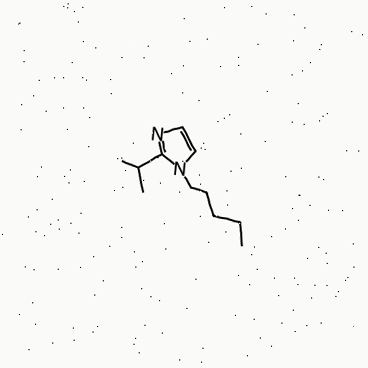 CCCCCn1ccnc1C(C)C